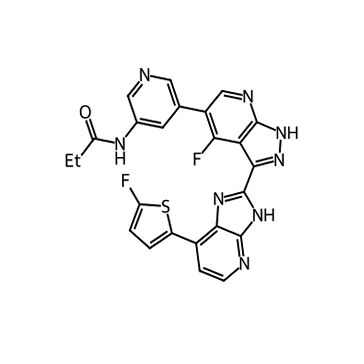 CCC(=O)Nc1cncc(-c2cnc3[nH]nc(-c4nc5c(-c6ccc(F)s6)ccnc5[nH]4)c3c2F)c1